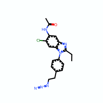 CCc1nc2cc(NC(C)=O)c(Cl)cc2n1-c1ccc(CCN=[N+]=[N-])cc1